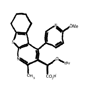 COc1ccc(-c2c(C(OC(C)(C)C)C(=O)O)c(C)nc3sc4c(c23)CCCC4)cn1